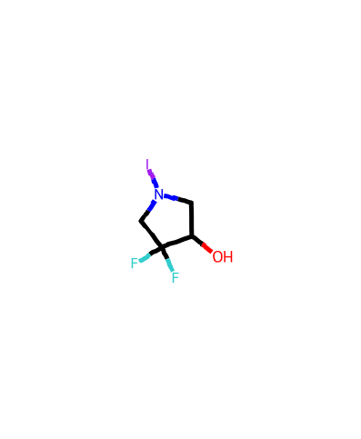 OC1CN(I)CC1(F)F